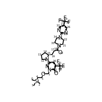 C[Si](C)(C)CCOCn1nc(N2CCC[C@H]2CCC(=O)N2CCN(c3ncc(C(F)(F)F)cn3)CC2)cc(C(F)(F)F)c1=O